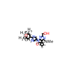 CNc1nc(CO)nc2c1C1(CCCC1)C(=O)N2c1cnc(C2=CC(C)(C)OC(C)(C)C2)nc1